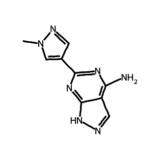 Cn1cc(-c2nc(N)c3cn[nH]c3n2)cn1